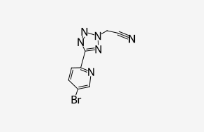 N#CCn1nnc(-c2ccc(Br)cn2)n1